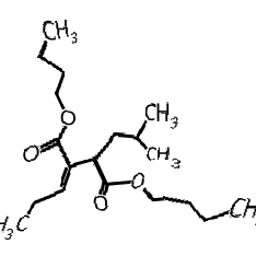 CCC=C(C(=O)OCCCC)C(CC(C)C)C(=O)OCCCC